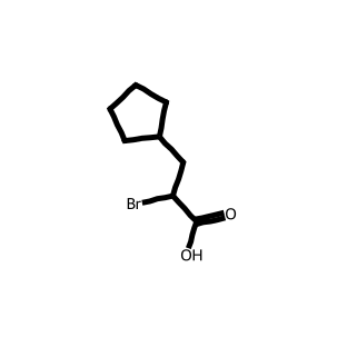 O=C(O)C(Br)CC1CCCC1